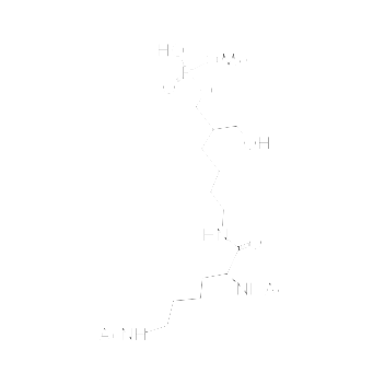 COP(=O)(O)OCC(CO)CCCCNC(=O)[C@H](CCCCNC(C)=O)NC(C)=O